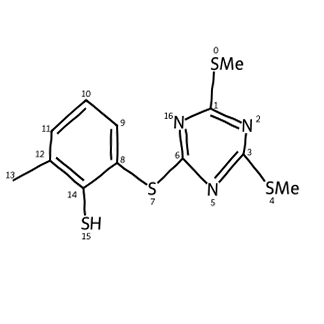 CSc1nc(SC)nc(Sc2cccc(C)c2S)n1